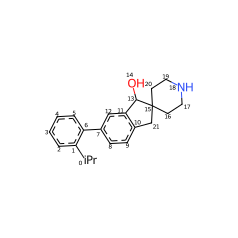 CC(C)c1ccccc1-c1ccc2c(c1)C(O)C1(CCNCC1)C2